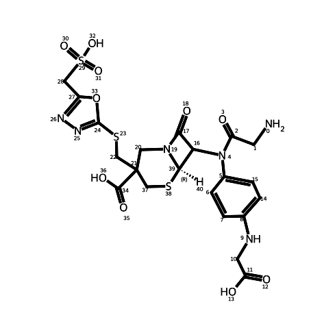 NCC(=O)N(c1ccc(NCC(=O)O)cc1)C1C(=O)N2CC(CSc3nnc(CS(=O)(=O)O)o3)(C(=O)O)CS[C@H]12